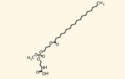 CCCCCCCCCCCCCCCCCC(=O)OCCCOP(=O)(OC)OCCNC(=O)O